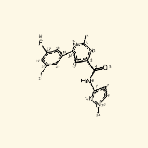 Cc1nc(C(=O)Nc2ccn(C)n2)cc(-c2cc(F)cc(F)c2)n1